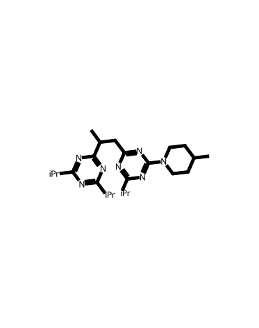 CC1CCN(c2nc(CC(C)c3nc(C(C)C)nc(C(C)C)n3)nc(C(C)C)n2)CC1